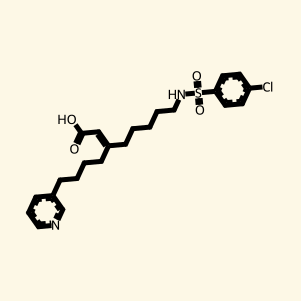 O=C(O)C=C(CCCCCNS(=O)(=O)c1ccc(Cl)cc1)CCCCc1cccnc1